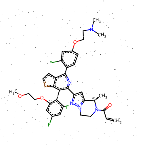 C=CC(=O)N1CCn2nc(-c3nc(-c4ccc(OCCN(C)C)cc4F)c4ccsc4c3-c3c(F)cc(F)cc3OCCOC)cc2[C@H]1C